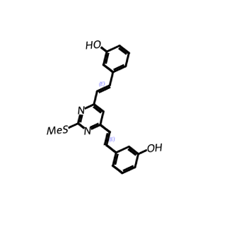 CSc1nc(/C=C/c2cccc(O)c2)cc(/C=C/c2cccc(O)c2)n1